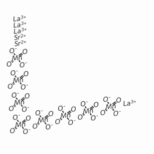 [La+3].[La+3].[La+3].[La+3].[O]=[Mn](=[O])([O-])[O-].[O]=[Mn](=[O])([O-])[O-].[O]=[Mn](=[O])([O-])[O-].[O]=[Mn](=[O])([O-])[O-].[O]=[Mn](=[O])([O-])[O-].[O]=[Mn](=[O])([O-])[O-].[O]=[Mn](=[O])([O-])[O-].[O]=[Mn](=[O])([O-])[O-].[Sr+2].[Sr+2]